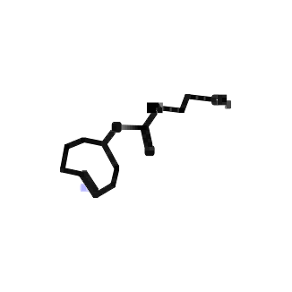 CCCNC(=O)OC1CC/C=C/CCC1